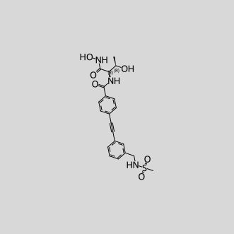 C[C@@H](O)[C@@H](NC(=O)c1ccc(C#Cc2cccc(CNS(C)(=O)=O)c2)cc1)C(=O)NO